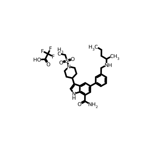 CCCC(C)NCc1cccc(-c2cc(C(N)=O)c3[nH]cc(C4CCN(S(=O)(=O)CC)CC4)c3c2)c1.O=C(O)C(F)(F)F